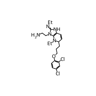 CCN=c1[nH]c2c(n1CCN)N(CC)C(CCCOc1ccc(Cl)cc1Cl)C=C2